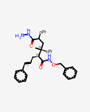 CCCC(C[C@](C)(CCC)[C@H](C/C=C/c1ccccc1)C(=O)NOCc1ccccc1)C(=O)NN